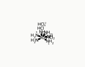 Cl.Cl.Cl.[NH2][Ru]([NH2])([NH2])([NH2])([NH2])[NH2]